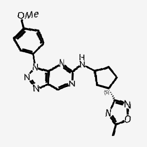 COc1ccc(-n2nnc3cnc(NC4CC[C@H](c5noc(C)n5)C4)nc32)cc1